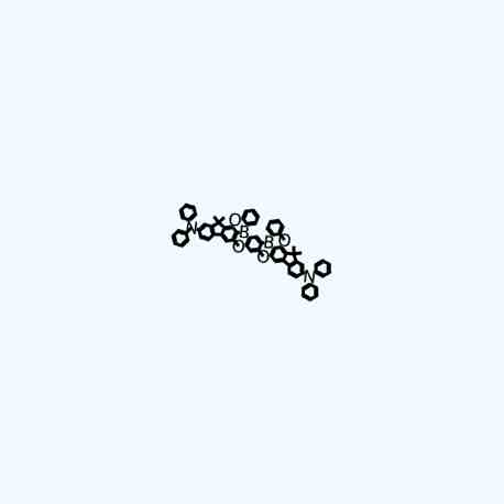 CC1(C)c2cc(N(c3ccccc3)c3ccccc3)ccc2-c2cc3c4c(c21)Oc1ccccc1B4c1cc2c(cc1O3)Oc1cc3c(c4c1B2c1ccccc1O4)C(C)(C)c1cc(N(c2ccccc2)c2ccccc2)ccc1-3